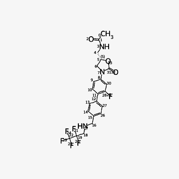 CC(=O)NC[C@H]1CN(c2ccc(-c3ccc(CNCC(F)(F)C(F)(F)F)cc3)c(F)c2)C(=O)O1